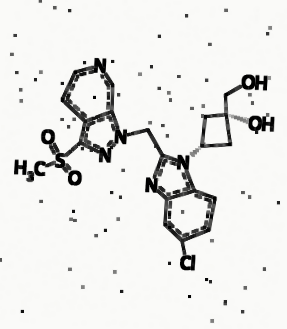 CS(=O)(=O)c1nn(Cc2nc3cc(Cl)ccc3n2[C@H]2C[C@](O)(CO)C2)c2cnccc12